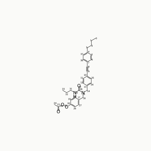 CCCCc1ccc(C#Cc2ccc(CN(Cc3ccc(OOC(C)=O)cc3)C(=O)NCCC)cc2)cc1